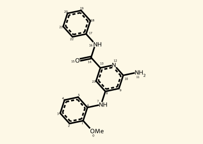 COc1ccccc1Nc1cc(N)nc(C(=O)Nc2ccccc2)c1